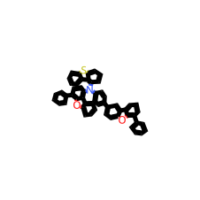 c1ccc(-c2cccc3c2oc2ccc(-c4ccc(N(c5cccc6sc7ccccc7c56)c5ccc(-c6ccccc6)c6oc7ccccc7c56)cc4)cc23)cc1